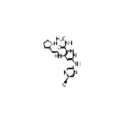 CNC(=O)c1nnc(Nc2cnc(C#N)cn2)cc1NCCC1CCCN1